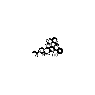 C=CC(=O)N1CCN2c3nc(=O)n(-c4c(C)ccnc4C(C)C)c4c(F)c(-c5c(O)cccc5F)nc(c34)OC[C@@H]2C1